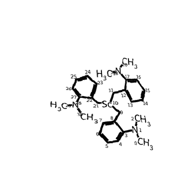 CN(C)c1ccccc1[CH2][Sc]([CH2]c1ccccc1N(C)C)[CH2]c1ccccc1N(C)C